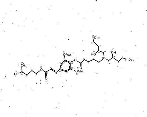 CCCCCCCCCCCCC(O)CN(CCCCC(=O)Oc1c(OC)cc(/C=C/C(=O)OCCCN(C)C)cc1OC)CC(O)CCCCCCCCCCCC